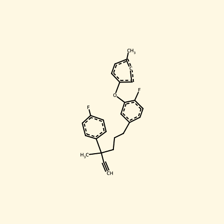 C#CC(C)(CCCc1ccc(F)c(Oc2ccc(C)cc2)c1)c1ccc(F)cc1